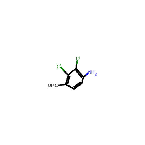 Nc1ccc([C]=O)c(Cl)c1Cl